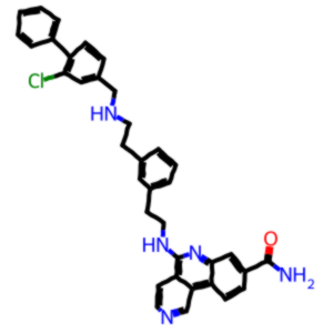 NC(=O)c1ccc2c(c1)nc(NCCc1cccc(CCNCc3ccc(-c4ccccc4)c(Cl)c3)c1)c1ccncc12